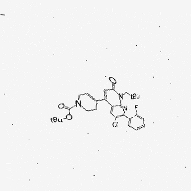 CC(C)(C)Cn1c(=O)cc(C2=CCN(C(=O)OC(C)(C)C)CC2)c2cc(Cl)c(-c3ccccc3F)nc21